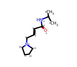 CC(C)NC(=O)/C=C/CN1CCCC1